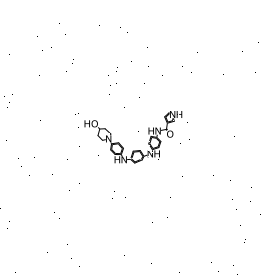 O=C(Nc1ccc(Nc2ccc(Nc3ccc(N4CCC(O)CC4)cc3)cc2)cc1)c1cc[nH]c1